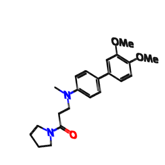 COc1ccc(-c2ccc(N(C)CCC(=O)N3CCCC3)cc2)cc1OC